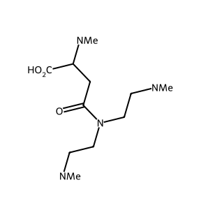 CNCCN(CCNC)C(=O)CC(NC)C(=O)O